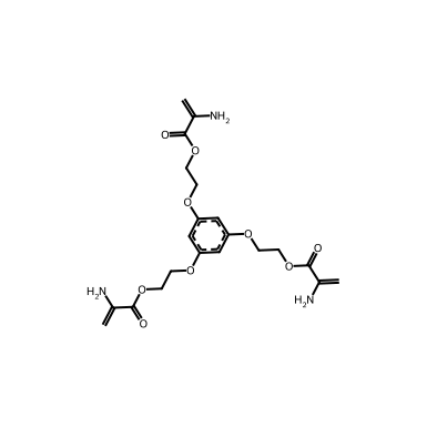 C=C(N)C(=O)OCCOc1cc(OCCOC(=O)C(=C)N)cc(OCCOC(=O)C(=C)N)c1